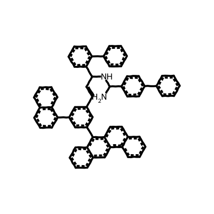 NC(NC(/C=C/c1cc(-c2cccc3ccccc23)cc(-c2c3ccccc3cc3c2ccc2ccccc23)c1)c1ccccc1-c1ccccc1)c1ccc(-c2ccccc2)cc1